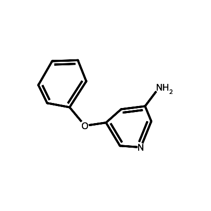 Nc1cncc(Oc2ccccc2)c1